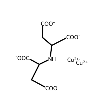 O=C([O-])CC(NC(CC(=O)[O-])C(=O)[O-])C(=O)[O-].[Cu+2].[Cu+2]